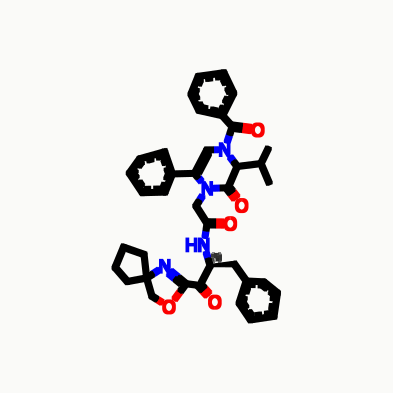 CC(C)C1C(=O)N(CC(=O)N[C@@H](Cc2ccccc2)C(=O)C2=NC3(CCCC3)CO2)C(c2ccccc2)=CN1C(=O)c1ccccc1